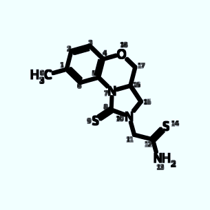 Cc1ccc2c(c1)N1C(=S)N(CC(N)=S)CC1CO2